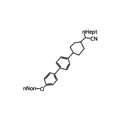 CCCCCCCCCOc1ccc(-c2ccc(C3CCC(C(C#N)CCCCCCC)CC3)cc2)cc1